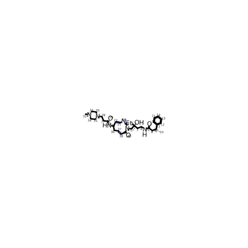 CCC(O)(CCNC(=O)C[C@@H](C)c1ccccc1)CN1/C=N\C=C\C(NC(=O)CCN2CCN(C)CC2)C/C=C/C1=O